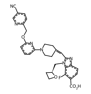 N#Cc1ccc(COc2cccc(N3CCC(=Cc4nc5ccc(C(=O)O)c(F)c5n4C[C@@H]4CCO4)CC3)n2)nc1